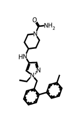 CC[N+]1(Cc2ccccc2-c2cccc(C)c2)C=C(NC2CCN(C(N)=O)CC2)C=N1